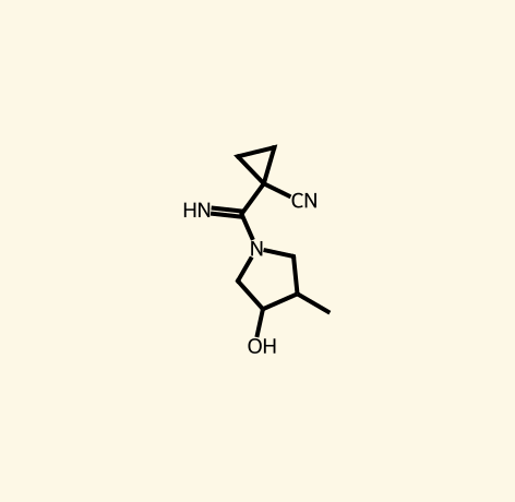 CC1CN(C(=N)C2(C#N)CC2)CC1O